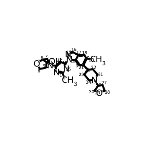 Cc1nc(N2CC3OCC2C3O)cc(-n2ncc3cc(C)c(C4CCN(C5CCOC5)CC4)cc32)n1